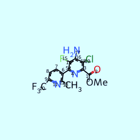 COC(=O)c1nc(-c2ccc(C(F)(F)F)nc2C)c(F)c(N)c1Cl